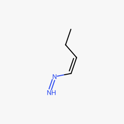 CC/C=C\N=N